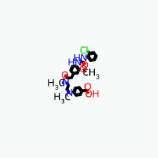 COc1cc(CC(=O)N(C)CCN(C)c2ccc(C(=O)O)cc2)ccc1NC(=O)Nc1ccccc1Cl